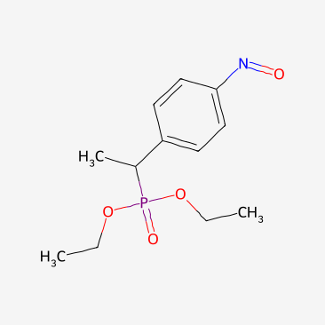 CCOP(=O)(OCC)C(C)c1ccc(N=O)cc1